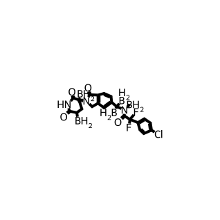 BC1C[C@@](B)(N2Cc3cc(C(B)(B)N(B)C(=O)C(F)(F)c4ccc(Cl)cc4)ccc3C2=O)C(=O)NC1=O